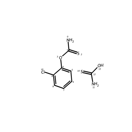 NC(=S)Oc1ccccc1Cl.NC(O)=S